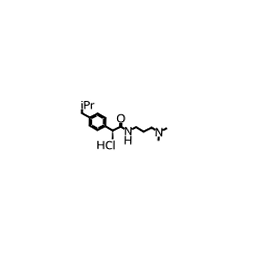 CC(C)Cc1ccc([C@H](C)C(=O)NCCCN(C)C)cc1.Cl